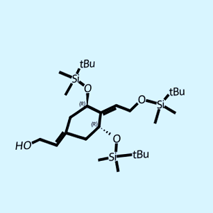 CC(C)(C)[Si](C)(C)OCC=C1[C@H](O[Si](C)(C)C(C)(C)C)CC(=CCO)C[C@H]1O[Si](C)(C)C(C)(C)C